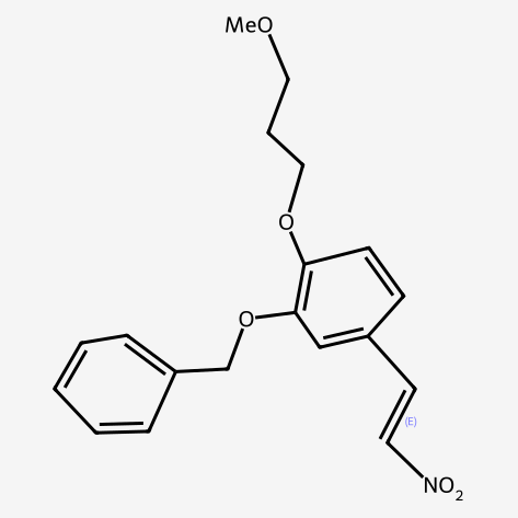 COCCCOc1ccc(/C=C/[N+](=O)[O-])cc1OCc1ccccc1